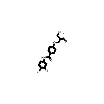 NC/C(=C/F)COc1ccc(C(=O)Nc2ccc(Cl)c(Cl)c2)cc1